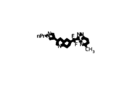 CCCn1cc(-c2cnc3ccc(C(F)(F)c4nnc5ccc(C)nn45)cc3c2)cn1